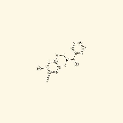 CCC(c1ccccc1)N1CCn2cc(O)c(=O)cc2C1